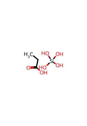 CCC(=O)O.O[Si](O)(O)O